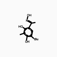 CC(=NO)c1cc(C(C)(C)C)c(O)c(C)c1O